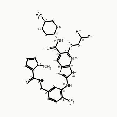 Cn1cccc1C(=O)NCc1ccc(C(F)(F)F)c(Nc2nc3cc(C(=O)N[C@H]4CC[C@H](C(F)(F)F)CC4)c(OCC(F)F)nc3[nH]2)c1